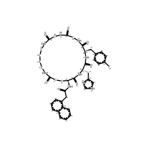 O=C1CC[C@H](NC(=O)Cc2cccc3ccccc23)C(=O)N[C@@H](Cc2c[nH]cn2)C(=O)N[C@H](Cc2ccc(F)cc2)C(=O)NCC(=O)NCC(=O)NCCCCN1